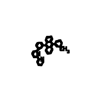 CC1C=C(c2c3ccccc3c(-c3cccc(-c4cccc(-c5ccccn5)n4)c3)c3ccccc23)C=CC1